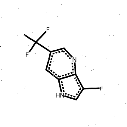 CC(F)(F)c1cnc2c(F)c[nH]c2c1